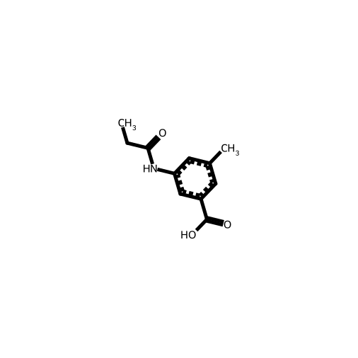 CCC(=O)Nc1cc(C)cc(C(=O)O)c1